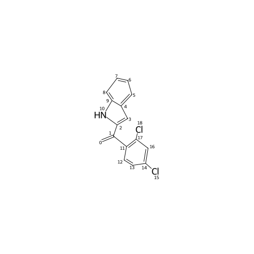 C=C(c1cc2ccccc2[nH]1)c1ccc(Cl)cc1Cl